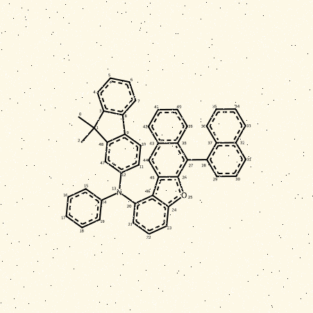 CC1(C)c2ccccc2-c2ccc(N(c3ccccc3)c3cccc4oc5c(-c6cccc7ccccc67)c6ccccc6cc5c34)cc21